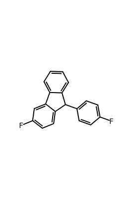 Fc1ccc(C2c3ccccc3-c3cc(F)ccc32)cc1